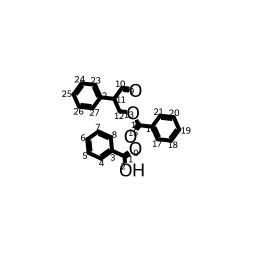 O=C(O)c1ccccc1.O=CC(COC(=O)c1ccccc1)c1ccccc1